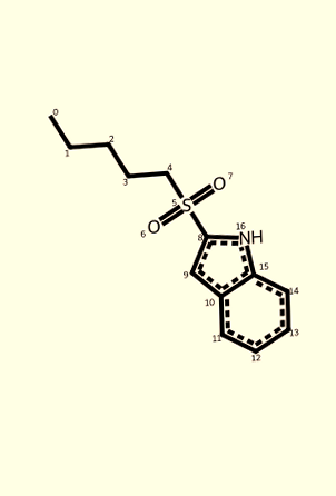 CCCCCS(=O)(=O)c1cc2ccccc2[nH]1